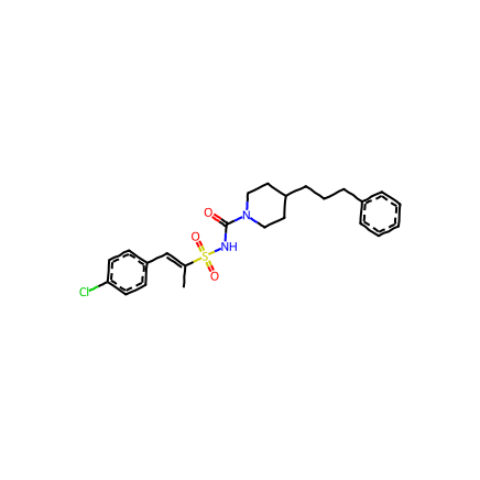 C/C(=C\c1ccc(Cl)cc1)S(=O)(=O)NC(=O)N1CCC(CCCc2ccccc2)CC1